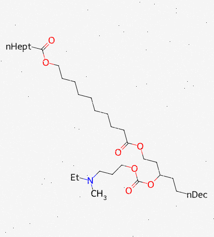 CCCCCCCCCCCCC(CCOC(=O)CCCCCCCCCOC(=O)CCCCCCC)OC(=O)OCCCN(C)CC